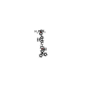 CCC1(CC)c2cc(/C=C/c3ccc4c(c3)C(CC)(CC)c3cc(N(c5ccccc5)c5ccccc5)ccc3-4)ccc2-c2ccc(-c3ccc([SiH](C)C)cc3)cc21